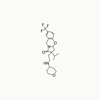 CC(C)C1(CCNC2CCOCC2)CC2Oc3ccc(C(F)(F)F)cc3CN2C1=O